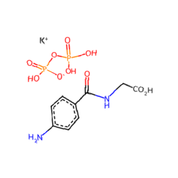 Nc1ccc(C(=O)NCC(=O)O)cc1.O=P([O-])(O)OP(=O)(O)O.[K+]